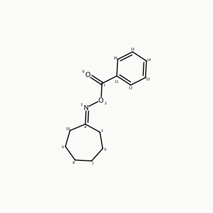 O=C(ON=C1CCCCCC1)c1ccccc1